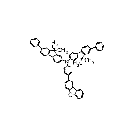 CC1(C)c2cc(-c3ccccc3)ccc2-c2ccc(N(c3ccc(-c4ccc5oc6ccccc6c5c4)cc3)c3ccc4c(c3)C(C)(C)c3cc(-c5ccccc5)ccc3-4)cc21